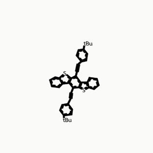 CC(C)(C)c1ccc(C#Cc2c3sc4ccccc4c3c(C#Cc3ccc(C(C)(C)C)cc3)c3sc4ccccc4c23)cc1